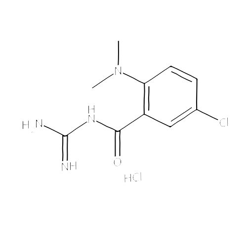 CN(C)c1ccc(Cl)cc1C(=O)NC(=N)N.Cl